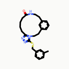 Cc1cccc(CSc2nnc3n2CCc2cccc(c2)CCNC(=O)CCCC3)c1